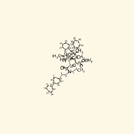 CCCN(CCc1ccc(-c2ccccc2)cc1)C(=O)[C@@H]1OC(C(=O)OC)=C[C@H](O[Si](c2ccccc2)(c2ccccc2)C(C)(C)C)[C@H]1NC(C)=O